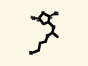 [3H][C@H]1CC(OP(C)OCCCBr)[C@@H](CC)O1